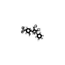 O=Cc1c(-c2ccc([N+](=O)[O-])cc2F)nn(-c2ccccc2)c1Cl